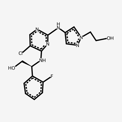 OCCn1cc(Nc2ncc(Cl)c(N[C@H](CO)c3ccccc3F)n2)cn1